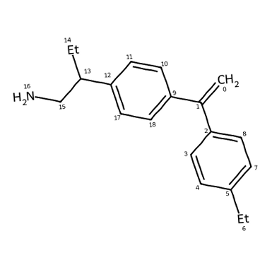 C=C(c1ccc(CC)cc1)c1ccc(C(CC)CN)cc1